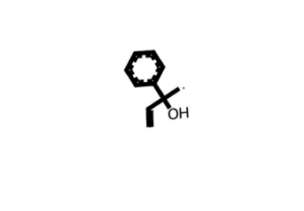 [CH2]C(O)(C=C)c1ccccc1